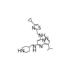 CC(C)c1cnn2c(NCc3nc(C4CC4)cs3)cc(NCC3CCNCC3)nc12